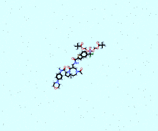 CC(=O)N1CC[C@H]2CC[C@@H](C(=O)N(C)c3ccc(N4CCOCC4)cc3)N2C(=O)C(CNC(=O)c2cc3cc(C(F)(F)P(=O)(OCOC(=O)C(C)(C)C)OCOC(=O)C(C)(C)C)ccc3s2)C1